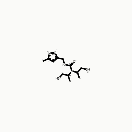 Cc1cc(COC(=O)N(C(C)CS)C(C)CS)on1